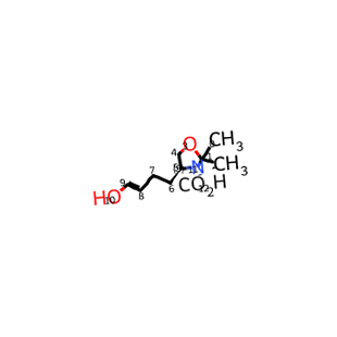 CC1(C)OC[C@H](CCC=CO)N1C(=O)O